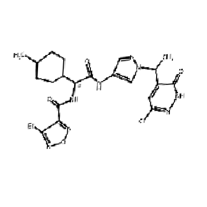 CCc1nonc1C(=O)N[C@H](C(=O)Nc1cnn(C(C)c2cc(Cl)n[nH]c2=O)c1)C1CCC(C)CC1